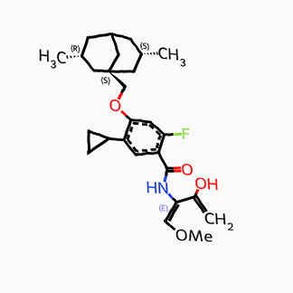 C=C(O)/C(=C\OC)NC(=O)c1cc(C2CC2)c(OC[C@]23CC(C[C@@H](C)C2)C[C@H](C)C3)cc1F